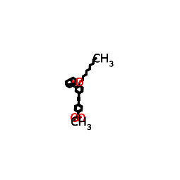 CCCCCCCCCOc1ccc(C#Cc2ccc(C(=O)OC)cc2)cc1C12CC3CC(CC(C3)C1)C2